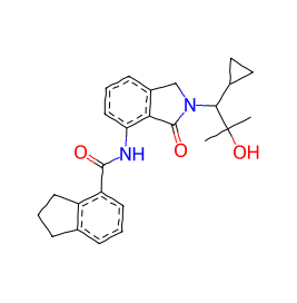 CC(C)(O)C(C1CC1)N1Cc2cccc(NC(=O)c3cccc4c3CCC4)c2C1=O